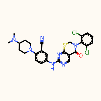 CN(C)C1CCN(c2ccc(Nc3ncc4c(n3)SCN(c3c(Cl)cccc3Cl)C4=O)cc2C#N)CC1